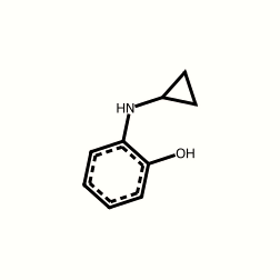 Oc1ccccc1NC1CC1